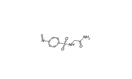 NC(=O)CNS(=O)(=O)c1ccc(N=S)cc1